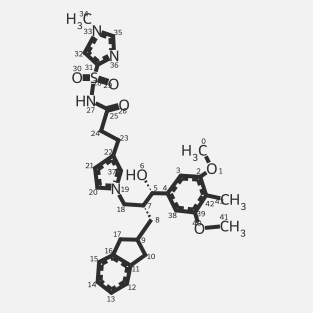 COc1cc([C@@H](O)[C@H](CC2Cc3ccccc3C2)Cn2ccc(CCC(=O)NS(=O)(=O)c3cn(C)cn3)c2)cc(OC)c1C